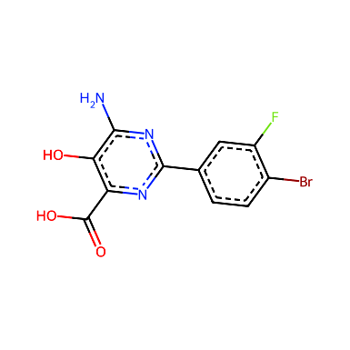 Nc1nc(-c2ccc(Br)c(F)c2)nc(C(=O)O)c1O